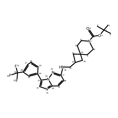 CC(C)(C)OC(=O)N1CCC2(CC1)CC(CNc1ccc3ncc(-c4cccc(C(F)(F)F)c4)n3n1)C2